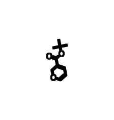 CC(C)(C)OC(=O)C1=CC=COC1